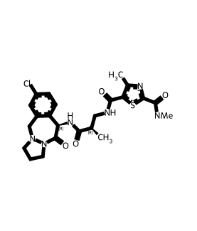 CNC(=O)c1nc(C)c(C(=O)NC[C@@H](C)C(=O)N[C@H]2C(=O)N3CCCN3Cc3cc(Cl)ccc32)s1